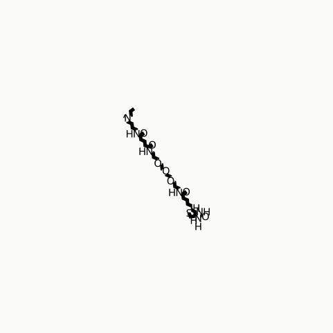 CCCN(C)CCCCNC(=O)CCCC(=O)NCCCOCCOCCOCCCNC(=O)CCCC[C@@H]1SC[C@@H]2NC(=O)N[C@@H]21